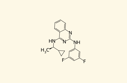 C[C@@H](Nc1nc(Nc2cc(F)cc(F)c2)nc2ccccc12)C1CC1